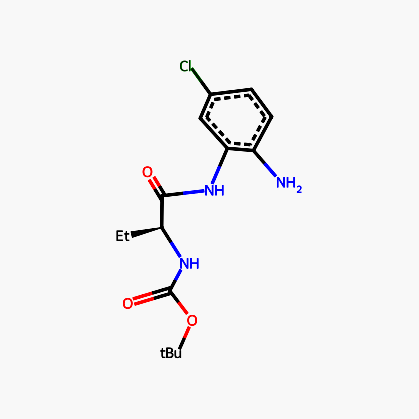 CC[C@H](NC(=O)OC(C)(C)C)C(=O)Nc1cc(Cl)ccc1N